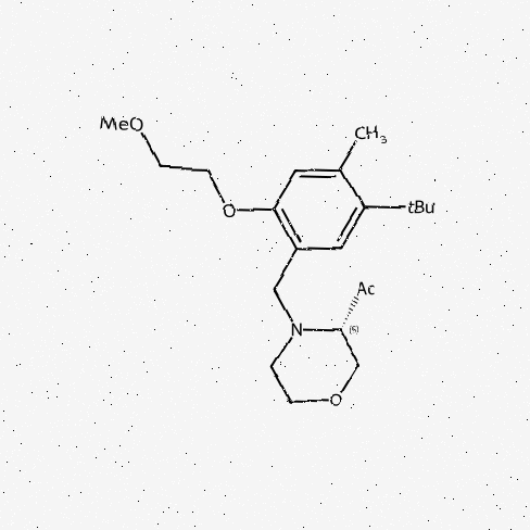 COCCOc1cc(C)c(C(C)(C)C)cc1CN1CCOC[C@H]1C(C)=O